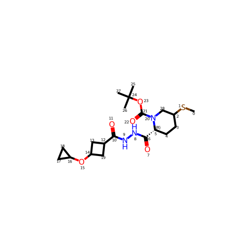 CSC1CC[C@H](C(=O)NNC(=O)C2CC(OC3CC3)C2)N(C(=O)OC(C)(C)C)C1